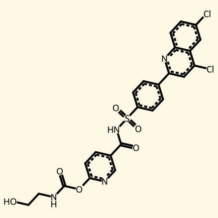 O=C(NCCO)Oc1ccc(C(=O)NS(=O)(=O)c2ccc(-c3cc(Cl)c4cc(Cl)ccc4n3)cc2)cn1